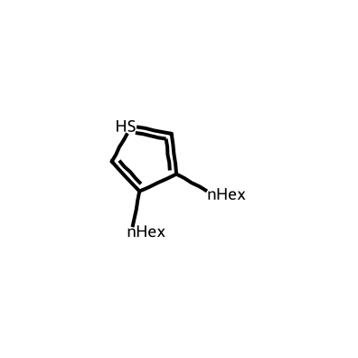 CCCCCCC1=C=[SH]C=C1CCCCCC